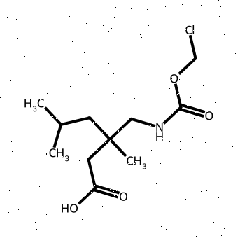 CC(C)CC(C)(CNC(=O)OCCl)CC(=O)O